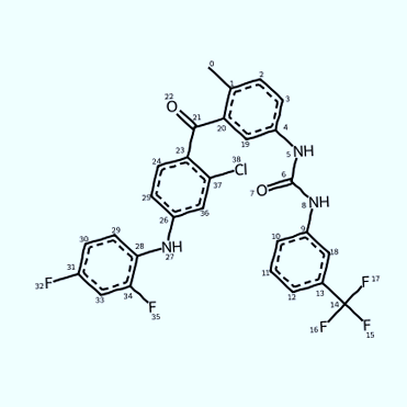 Cc1ccc(NC(=O)Nc2cccc(C(F)(F)F)c2)cc1C(=O)c1ccc(Nc2ccc(F)cc2F)cc1Cl